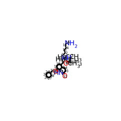 CC(C)(C)[Si](C)(C)OC(CNCCCCCN)c1ccc(OCc2ccccc2)c2[nH]c(=O)ccc12